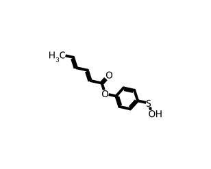 C/C=C/C=C/C(=O)Oc1ccc(SO)cc1